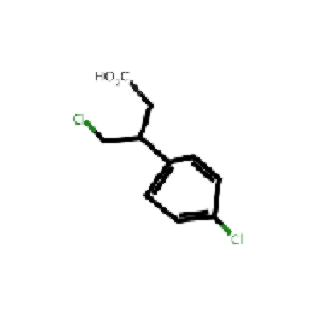 O=C(O)CC(CCl)c1ccc(Cl)cc1